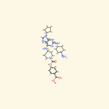 COC(=O)c1ccc(OC(=O)N2CCC(Nc3nc(N[C@H]4CC[C@H](N)CC4)nc4c3ncn4C3CCCC3)CC2)cc1